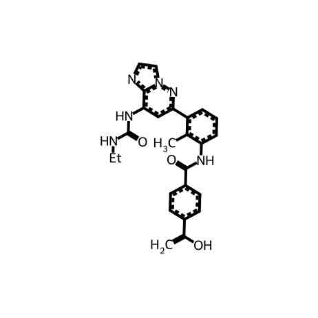 C=C(O)c1ccc(C(=O)Nc2cccc(-c3cc(NC(=O)NCC)c4nccn4n3)c2C)cc1